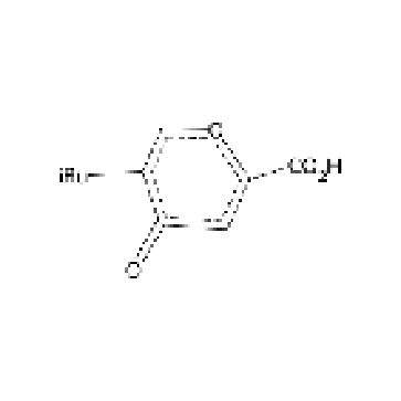 CCC(C)c1coc(C(=O)O)cc1=O